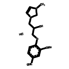 COc1cc(C=O)ccc1OCC(O)CN1C=CN(C)C1.Cl